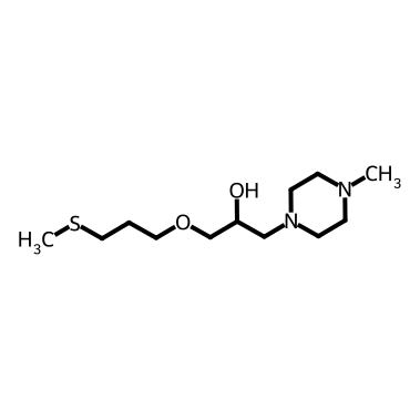 CSCCCOCC(O)CN1CCN(C)CC1